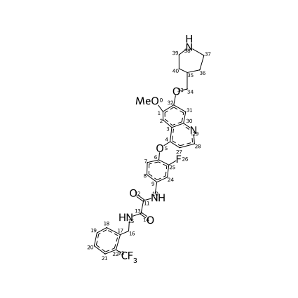 COc1cc2c(Oc3ccc(NC(=O)C(=O)NCc4ccccc4C(F)(F)F)cc3F)ccnc2cc1OCC1CCNCC1